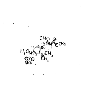 CN(C)c1cc(N(C)C(=O)OC(C)(C)C)ccc1OC[C@@H](C=O)NC(=O)OC(C)(C)C